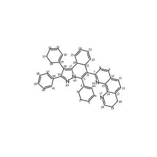 C1=CCCC(C2=C(c3ccc4ccc5c(c4n3)N=CCC5)C3C=CC=CC3c3c(C4=CC=CCC4)c(-c4ccccc4)nn32)=C1